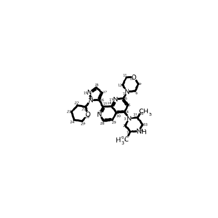 CC1CN(c2cc(N3CCOCC3)nc3c(-c4ccnn4C4CCCCO4)nccc23)C(C)CN1